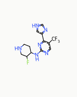 FC1CNCCC1Nc1ncc(C(F)(F)F)c(-c2c[nH]cn2)n1